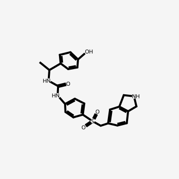 CC(NC(=O)Nc1ccc(S(=O)(=O)Cc2ccc3c(c2)CNC3)cc1)c1ccc(O)cc1